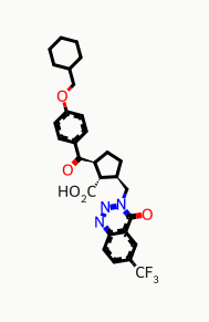 O=C(O)[C@H]1[C@H](Cn2nnc3ccc(C(F)(F)F)cc3c2=O)CC[C@@H]1C(=O)c1ccc(OCC2CCCCC2)cc1